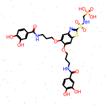 O=C(NCCCOc1cc2nc(S(=O)(=O)NCP(=O)(O)O)sc2cc1OCCCNC(=O)c1ccc(O)c(O)c1)c1ccc(O)c(O)c1